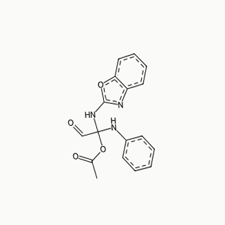 CC(=O)OC(C=O)(Nc1ccccc1)Nc1nc2ccccc2o1